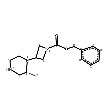 C[C@@H]1CNCCN1C1CN(C(=O)OCc2ccccc2)C1